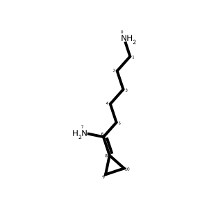 NCCCCCC(N)=C1CC1